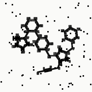 CC#CCn1nc(Cc2ccccc2)nc1Cc1ccc(-c2ccccc2-c2nnn[nH]2)cc1